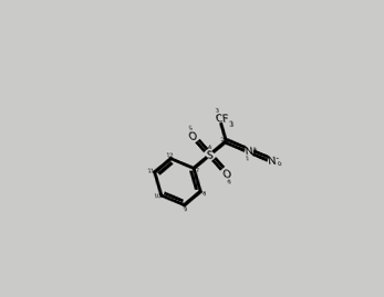 [N-]=[N+]=C(C(F)(F)F)S(=O)(=O)c1ccccc1